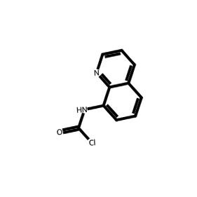 O=C(Cl)Nc1cccc2cccnc12